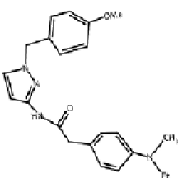 CCN(C)c1ccc(CC(=O)Nc2ccn(Cc3ccc(OC)cc3)n2)cc1